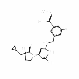 CN/C=C(\C)c1cc(F)cc(CNC2C=C(N3CCC(N)(CC4CC4)C3=O)C=C(C)N2)c1